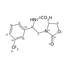 O=C(O)NC(CN1CCOC1=O)c1cccc(C(F)(F)F)c1